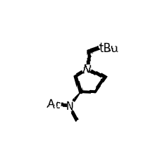 CC(=O)N(C)[C@@H]1CCN(CC(C)(C)C)C1